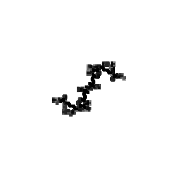 CC(C)C(NC(=O)CCC(C)(C#N)/N=N/C(C)(C#N)CCC(=O)N[C@H](C(=O)N[C@@H](CCCNC(N)=O)C(=O)O)C(C)C)C(=O)N[C@@H](CCCNC(N)=O)C(=O)O